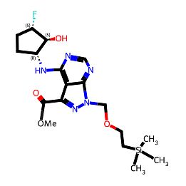 COC(=O)c1nn(COCC[Si](C)(C)C)c2ncnc(N[C@@H]3CC[C@H](F)[C@H]3O)c12